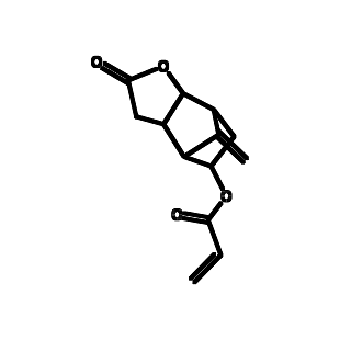 C=CC(=O)OC1CC2C(=C)C1C1CC(=O)OC21